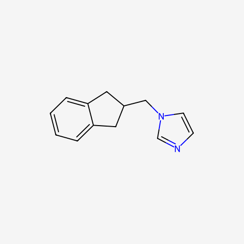 c1ccc2c(c1)CC(Cn1ccnc1)C2